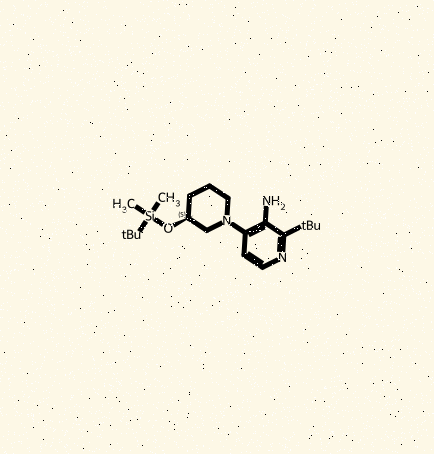 CC(C)(C)c1nccc(N2CCC[C@H](O[Si](C)(C)C(C)(C)C)C2)c1N